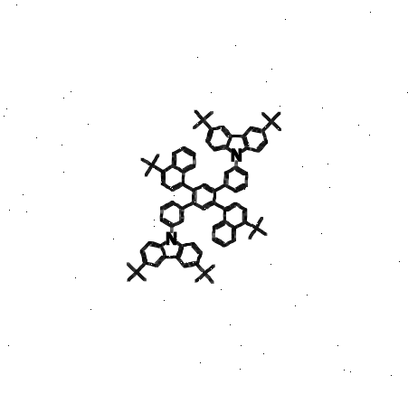 CC(C)(C)c1ccc2c(c1)c1cc(C(C)(C)C)ccc1n2-c1cccc(-c2cc(-c3ccc(C(C)(C)C)c4ccccc34)c(-c3cccc(-n4c5ccc(C(C)(C)C)cc5c5cc(C(C)(C)C)ccc54)c3)cc2-c2ccc(C(C)(C)C)c3ccccc23)c1